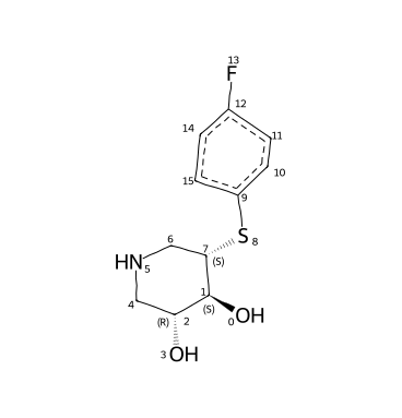 O[C@H]1[C@H](O)CNC[C@@H]1Sc1ccc(F)cc1